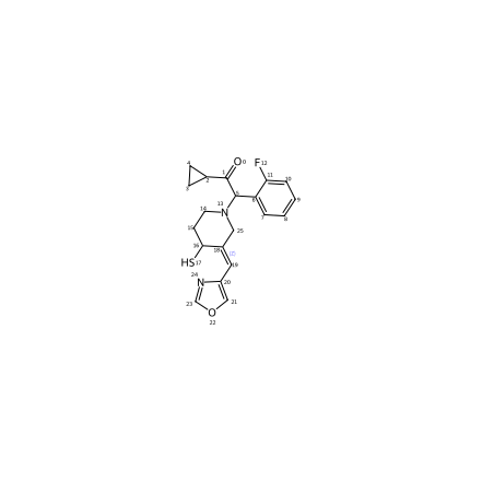 O=C(C1CC1)C(c1ccccc1F)N1CCC(S)/C(=C\c2cocn2)C1